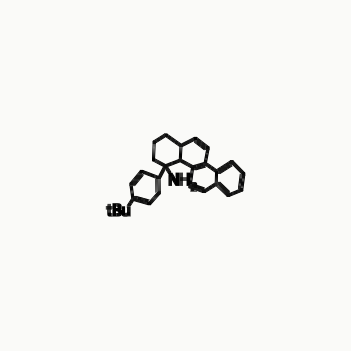 CC(C)(C)c1ccc(C2(N)CCCC3C=Cc4c(ccc5ccccc45)C32)cc1